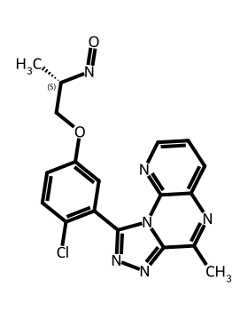 Cc1nc2cccnc2n2c(-c3cc(OC[C@H](C)N=O)ccc3Cl)nnc12